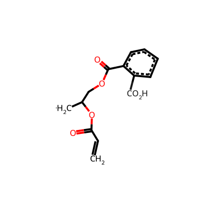 [CH2]C(COC(=O)c1ccccc1C(=O)O)OC(=O)C=C